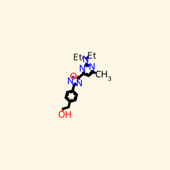 CCN(CC)c1nc(C)cc(-c2nc(-c3ccc(CCO)cc3)no2)n1